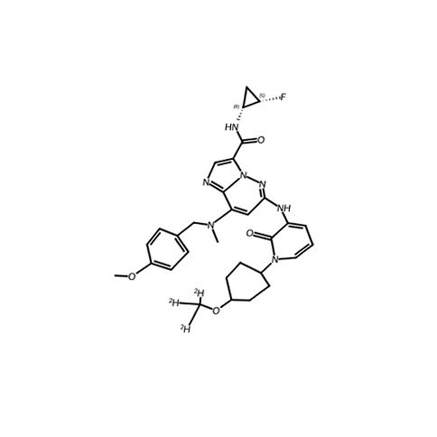 [2H]C([2H])([2H])OC1CCC(n2cccc(Nc3cc(N(C)Cc4ccc(OC)cc4)c4ncc(C(=O)N[C@@H]5C[C@@H]5F)n4n3)c2=O)CC1